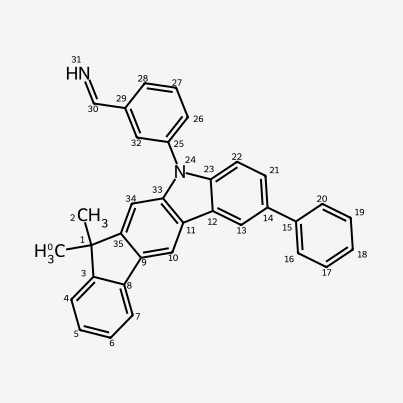 CC1(C)c2ccccc2-c2cc3c4cc(-c5ccccc5)ccc4n(-c4cccc(C=N)c4)c3cc21